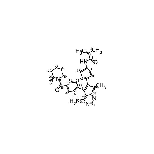 C=C(C)C(=O)Nc1ccc(-c2c(-c3ccc(C(=O)N4CCCCC4=O)cc3)c3c(N)ncnc3n2C)cc1